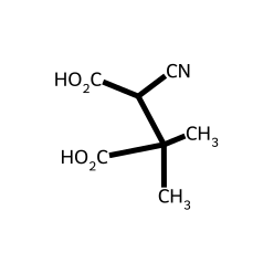 CC(C)(C(=O)O)C(C#N)C(=O)O